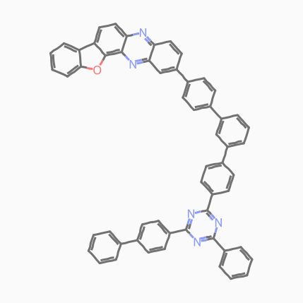 c1ccc(-c2ccc(-c3nc(-c4ccccc4)nc(-c4ccc(-c5cccc(-c6ccc(-c7ccc8nc9ccc%10c%11ccccc%11oc%10c9nc8c7)cc6)c5)cc4)n3)cc2)cc1